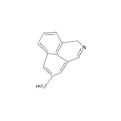 O=S(=O)(O)c1cc2c3c(cccc3c1)CN=C2